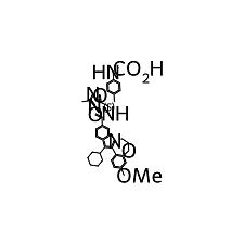 COc1ccc2c(c1)OCCn1c-2c(C2CCCCC2)c2ccc(C(=O)N[C@@H](Cc3ccc(NC(=O)O)cc3)c3nc(C)no3)cc21